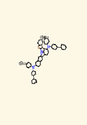 CC(C)(C)c1ccc(N(c2ccc(-c3ccccc3)cc2)c2ccc3cc4c5ccc(N(c6ccc(-c7ccccc7)cc6)c6ccc(C(C)(C)C)cc6)c6c7c8cc(C(C)(C)C)ccc8sc7n(c4cc3c2)c56)cc1